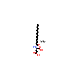 CCCCCCCCCCCCCC(=O)N[C@@H](CCC(=O)O)C(=O)O.[Na].[Na]